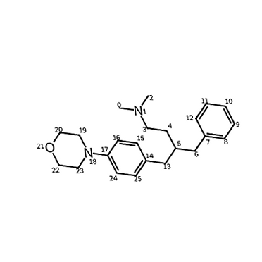 CN(C)CCC(Cc1ccccc1)Cc1ccc(N2CCOCC2)cc1